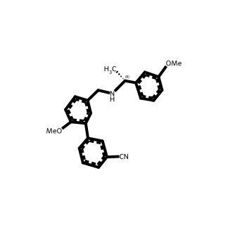 COc1cccc([C@@H](C)NCc2ccc(OC)c(-c3cccc(C#N)c3)c2)c1